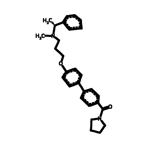 C[C@H](c1ccccc1)N(C)CCCOc1ccc(-c2ccc(C(=O)N3CCCC3)cc2)cc1